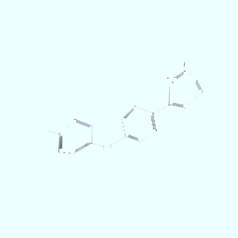 CCc1cccc(-c2ccc(Oc3ccc(C(F)(F)F)cc3)cc2)n1